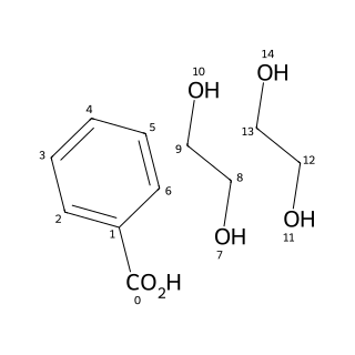 O=C(O)c1ccccc1.OCCO.OCCO